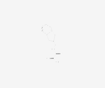 CCC(=O)C(=O)OCC1Cc2ccccc2C1